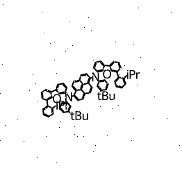 CC(C)c1ccccc1-c1cccc2c1oc1c(N(c3cccc(C(C)(C)C)c3)c3ccc4ccc5c(N(c6cccc(C(C)(C)C)c6)c6cccc7c6oc6c(-c8ccccc8C(C)C)cccc67)ccc6ccc3c4c65)cccc12